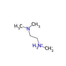 [CH2-][NH2+]CCN(C)C